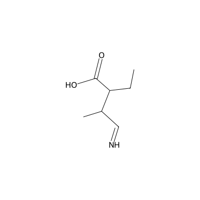 CCC(C(=O)O)C(C)C=N